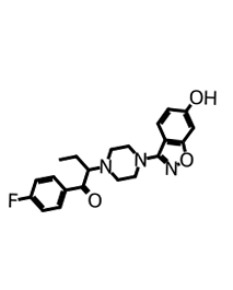 CCC(C(=O)c1ccc(F)cc1)N1CCN(c2noc3cc(O)ccc23)CC1